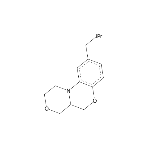 CC(C)Cc1ccc2c(c1)N1CCOCC1CO2